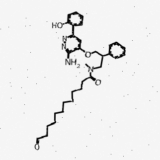 CN(CC(COc1cc(-c2ccccc2O)nnc1N)c1ccccc1)C(=O)CCCCCCCCCCC=O